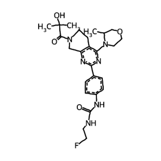 CC1COCCN1c1nc(-c2ccc(NC(=O)NCCF)cc2)nc2c1CCN(C(=O)C(C)(C)O)C2